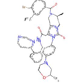 C[C@H]1Cn2c(c(C(=O)NCc3ccccc3-c3ccncn3)n(-c3ccc(N4CCOC(C(F)(F)F)C4)cc3)c2=O)CN1C(=O)c1ccc(Br)c(C(F)(F)F)c1